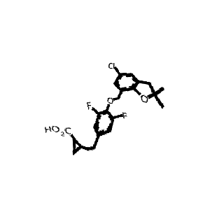 CC1(C)Cc2cc(Cl)cc(COc3c(F)cc(CC4CC4C(=O)O)cc3F)c2O1